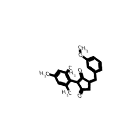 COc1cccc(CC2CC(=O)C(c3c(C)cc(C)cc3C)C2=O)c1